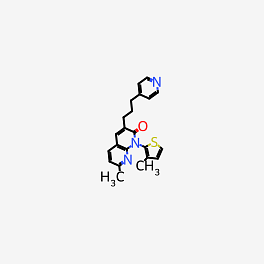 Cc1ccc2cc(CCCc3ccncc3)c(=O)n(-c3sccc3C)c2n1